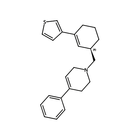 C1=C(c2ccsc2)CCC[C@H]1CN1CC=C(c2ccccc2)CC1